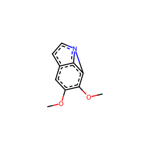 COc1cc2ccn3c2c-3c1OC